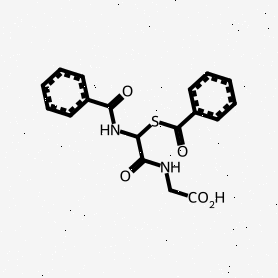 O=C(O)CNC(=O)C(NC(=O)c1ccccc1)SC(=O)c1ccccc1